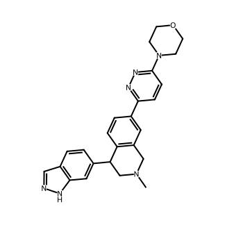 CN1Cc2cc(-c3ccc(N4CCOCC4)nn3)ccc2C(c2ccc3cn[nH]c3c2)C1